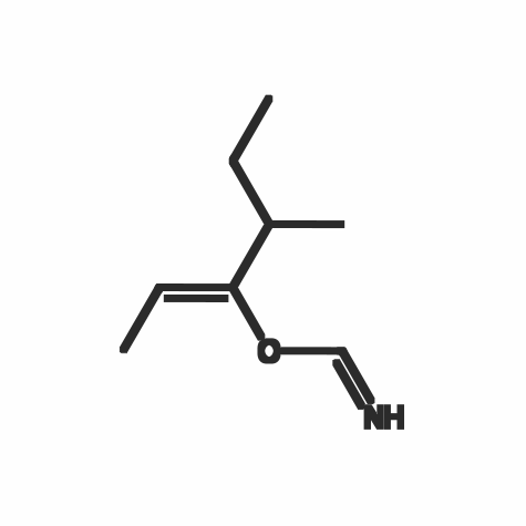 C/C=C(\OC=N)C(C)CC